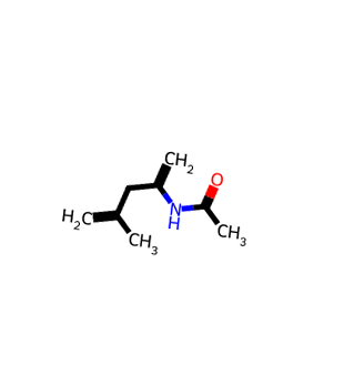 C=C(C)CC(=C)NC(C)=O